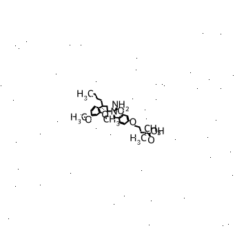 CCCCC(CCN(Cc1ccc(OCCCC(C)(C)C(=O)O)cc1)C(N)=O)c1ccc(OC)cc1OC